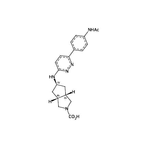 CC(=O)Nc1ccc(-c2ccc(N[C@H]3C[C@@H]4CN(C(=O)O)C[C@@H]4C3)nn2)cc1